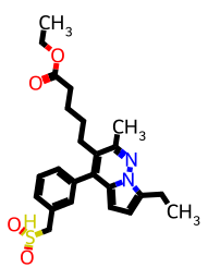 CCOC(=O)CCCCc1c(C)nn2c(CC)ccc2c1-c1cccc(C[SH](=O)=O)c1